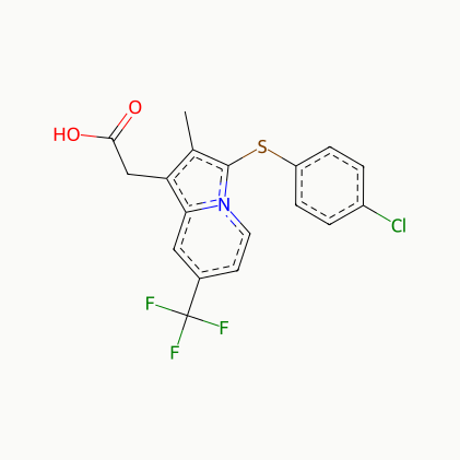 Cc1c(CC(=O)O)c2cc(C(F)(F)F)ccn2c1Sc1ccc(Cl)cc1